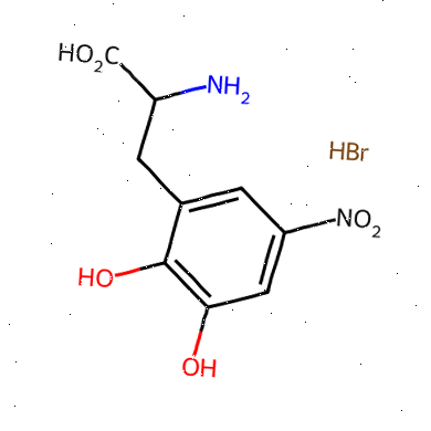 Br.NC(Cc1cc([N+](=O)[O-])cc(O)c1O)C(=O)O